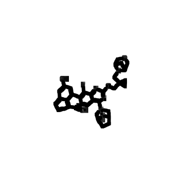 C#Cc1cccc2cc(O)cc(-c3c(F)cc4c(N5CC6CCC(C5)N6)nc(OCC5(CN6C7COCC6C7)CC5)nc4c3F)c12